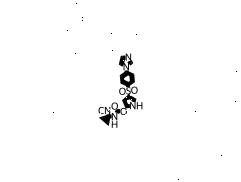 N#CC1(NC(=O)O[C@H]2C[C@@H](S(=O)(=O)c3ccc(-n4ccnc4)cc3)CN2)CC1